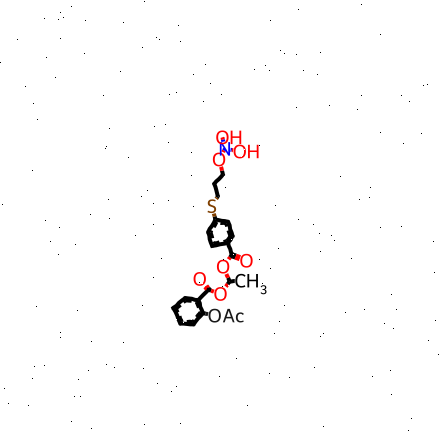 CC(=O)Oc1ccccc1C(=O)OC(C)OC(=O)c1ccc(SCCCON(O)O)cc1